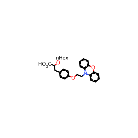 CCCCCCOC(Cc1ccc(OCCN2c3ccccc3Oc3ccccc32)cc1)C(=O)O